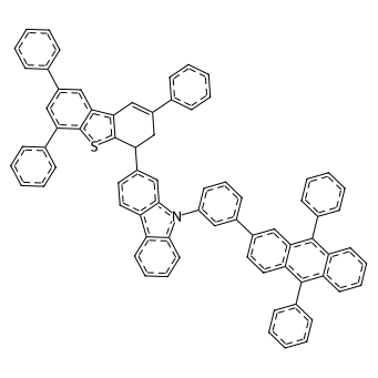 C1=C(c2ccccc2)CC(c2ccc3c4ccccc4n(-c4cccc(-c5ccc6c(-c7ccccc7)c7ccccc7c(-c7ccccc7)c6c5)c4)c3c2)c2sc3c(-c4ccccc4)cc(-c4ccccc4)cc3c21